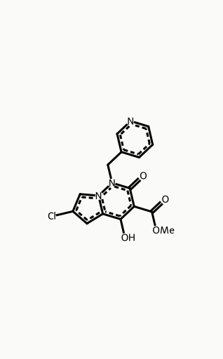 COC(=O)c1c(O)c2cc(Cl)cn2n(Cc2cccnc2)c1=O